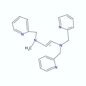 CN(/C=C/N(Cc1ccccn1)Cc1ccccn1)Cc1ccccn1